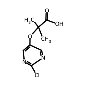 CC(C)(Oc1cnc(Cl)nc1)C(=O)O